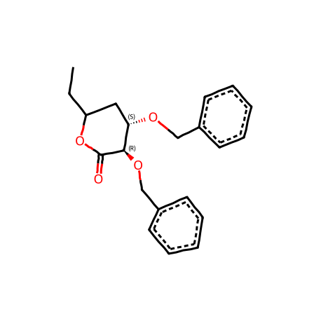 CCC1C[C@H](OCc2ccccc2)[C@@H](OCc2ccccc2)C(=O)O1